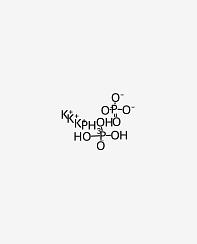 O=P(O)(O)O.O=P([O-])([O-])[O-].P.[K+].[K+].[K+]